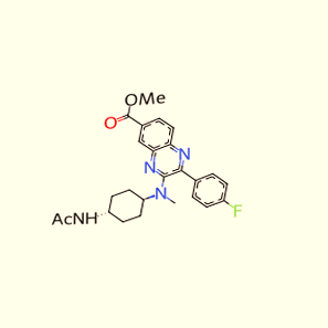 COC(=O)c1ccc2nc(-c3ccc(F)cc3)c(N(C)[C@H]3CC[C@H](NC(C)=O)CC3)nc2c1